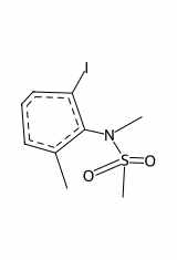 Cc1cccc(I)c1N(C)S(C)(=O)=O